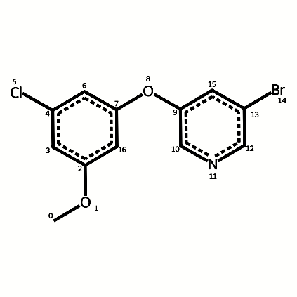 COc1cc(Cl)cc(Oc2cncc(Br)c2)c1